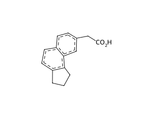 O=C(O)Cc1ccc2ccc3c(c2c1)CCC3